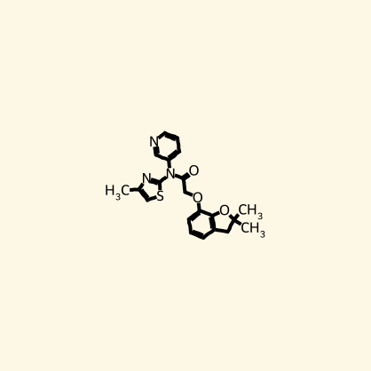 Cc1csc(N(C(=O)COc2cccc3c2OC(C)(C)C3)c2cccnc2)n1